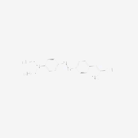 CCCCCCN(CCCCCC)c1ccc(/N=N/c2ccc(/C=C(/C)C#N)cc2)cc1